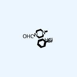 Brc1ccccc1.CN1CCN(C=O)CC1.Cl